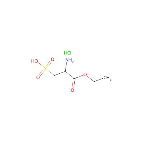 CCOC(=O)C(N)CS(=O)(=O)O.Cl